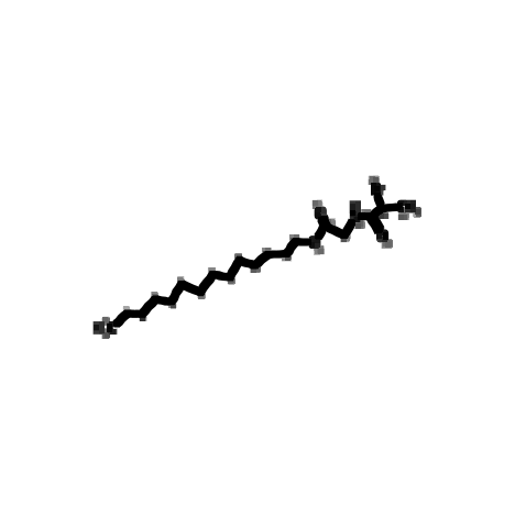 CCCCCCCCCCCCCCOC(=O)CNC(=O)C(C)Br